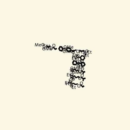 C=C(C)C(=O)OCCC[Si](C)(OC)OC.C=C(C)C(=O)OCCC[Si](C)(OCC)OCC.C=CC(=O)OCCC[SiH](OC)OC.C=CC(=O)OCCC[SiH](OCC)OCC.CCO[SiH](CCCOCC1CO1)OCC.CCO[SiH](OCC)C1CCCCC1.CCO[Si](OCC)(c1ccccc1)c1ccccc1.CO[Si](OC)(c1ccccc1)c1ccccc1